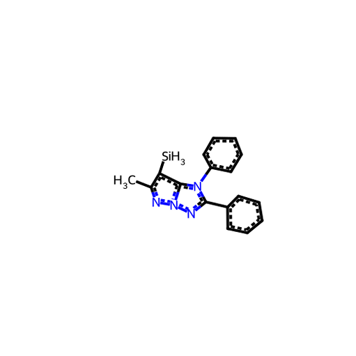 Cc1nn2nc(-c3ccccc3)n(-c3ccccc3)c2c1[SiH3]